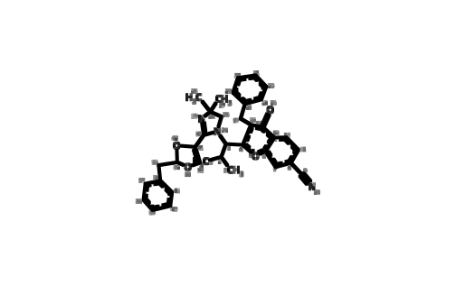 CC(C)C(c1oc2cc(C#N)ccc2c(=O)c1Cc1ccccc1)N1CC(C)(C)N=C1C1=COC(Cc2ccccc2)O1